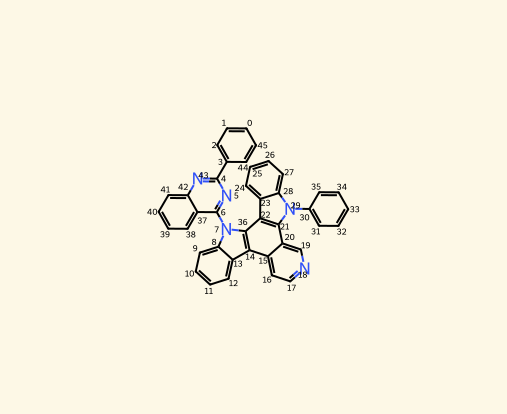 c1ccc(-c2nc(-n3c4ccccc4c4c5ccncc5c5c(c6ccccc6n5-c5ccccc5)c43)c3ccccc3n2)cc1